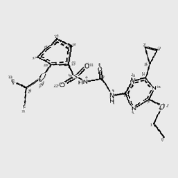 CCOc1nc(NC(=O)NS(=O)(=O)c2ccccc2OC(F)F)nc(C2CC2)n1